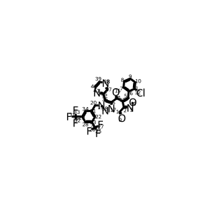 O=Cc1noc(-c2ccccc2Cl)c1C(=O)c1nnn(Cc2cc(C(F)(F)F)cc(C(F)(F)F)c2)c1-c1cnccn1